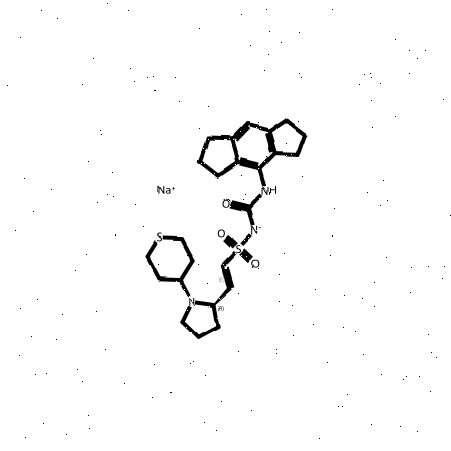 O=C([N-]S(=O)(=O)/C=C/[C@H]1CCCN1C1CCSCC1)Nc1c2c(cc3c1CCC3)CCC2.[Na+]